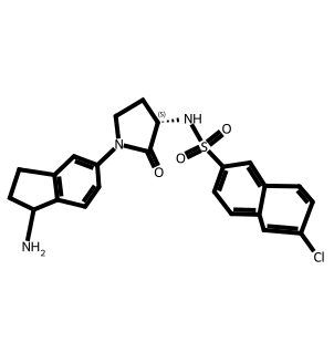 NC1CCc2cc(N3CC[C@H](NS(=O)(=O)c4ccc5cc(Cl)ccc5c4)C3=O)ccc21